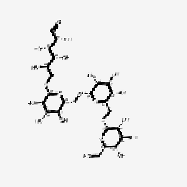 O=C[C@H](O)[C@@H](O)[C@H](O)[C@H](O)CO[C@H]1O[C@H](CO[C@H]2O[C@H](CO[C@H]3O[C@H](CO)[C@@H](O)[C@H](O)[C@H]3O)[C@@H](O)[C@H](O)[C@H]2O)[C@@H](O)[C@H](O)[C@H]1O